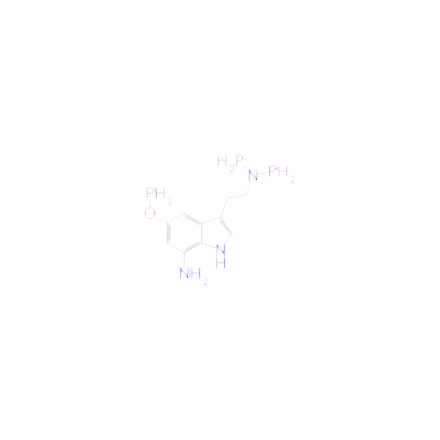 Nc1cc(OP)cc2c(CCN(P)P)c[nH]c12